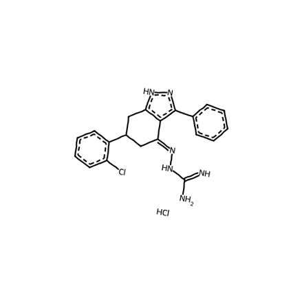 Cl.N=C(N)NN=C1CC(c2ccccc2Cl)Cc2[nH]nc(-c3ccccc3)c21